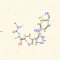 CN(C)C(=O)CN(C)C(=O)[C@H]1CCc2c(sc3ncnc(Nc4ccc5nnsc5c4)c23)C1